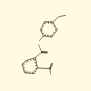 O=C(O)c1ccccc1C(=O)Oc1ccc(CCl)cc1